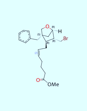 COC(=O)CCC/C=C\C[C@@H]1[C@@H](CBr)[C@H]2C[C@]1(Cc1ccccc1)CO2